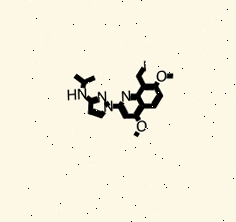 COc1ccc2c(OC)cc(-n3ccc(NC(C)C)n3)nc2c1CI